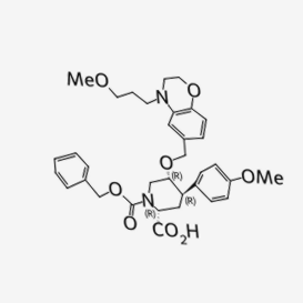 COCCCN1CCOc2ccc(CO[C@H]3CN(C(=O)OCc4ccccc4)[C@@H](C(=O)O)C[C@@H]3c3ccc(OC)cc3)cc21